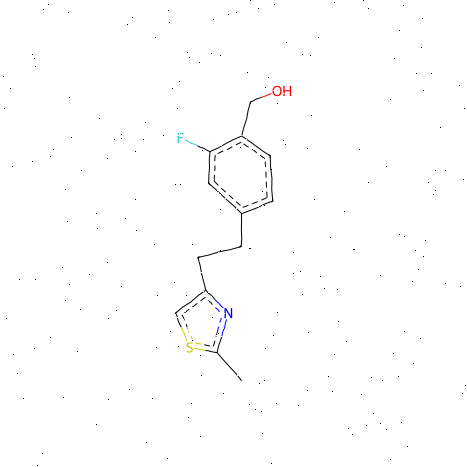 Cc1nc(CCc2ccc(CO)c(F)c2)cs1